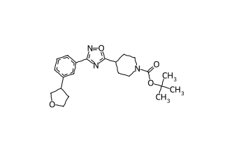 CC(C)(C)OC(=O)N1CCC(c2nc(-c3cccc(C4CCOC4)c3)no2)CC1